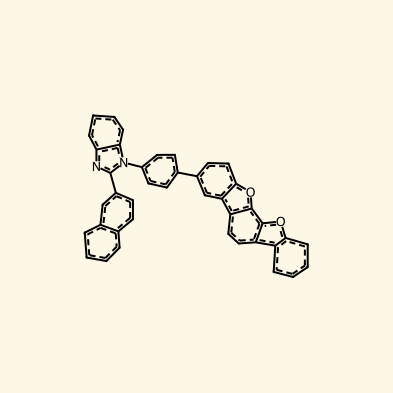 c1ccc2cc(-c3nc4ccccc4n3-c3ccc(-c4ccc5oc6c(ccc7c8ccccc8oc76)c5c4)cc3)ccc2c1